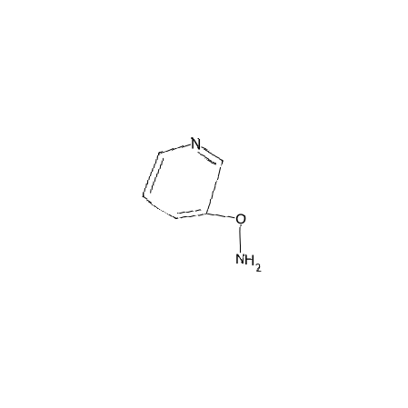 NOc1cccnc1